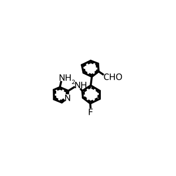 Nc1cccnc1Nc1cc(F)ccc1-c1ccccc1C=O